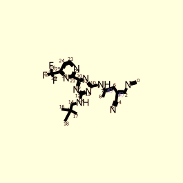 C=N/C=C(C#N)\C=C(/C)Nc1nc(NCC(C)(C)C)nc(-c2nccc(C(F)(F)F)n2)n1